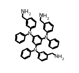 NCc1cccc(N(c2ccccc2)c2cc(N(c3ccccc3)c3cccc(CN)c3)cc(N(c3ccccc3)c3cccc(CN)c3)c2)c1